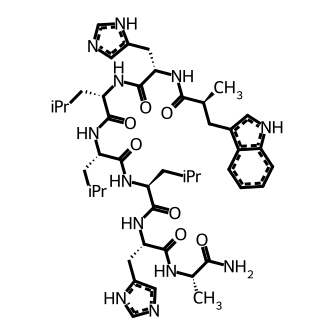 CC(C)C[C@H](NC(=O)[C@H](CC(C)C)NC(=O)[C@H](CC(C)C)NC(=O)[C@H](Cc1cnc[nH]1)NC(=O)[C@@H](C)Cc1c[nH]c2ccccc12)C(=O)N[C@@H](Cc1cnc[nH]1)C(=O)N[C@@H](C)C(N)=O